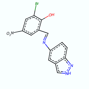 O=[N+]([O-])c1cc(Br)c(O)c(/C=N/c2ccc3n[nH]cc3c2)c1